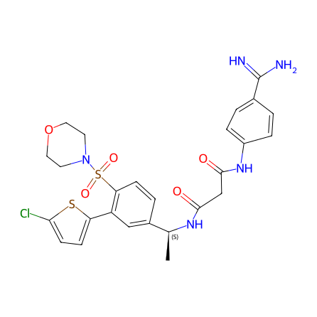 C[C@H](NC(=O)CC(=O)Nc1ccc(C(=N)N)cc1)c1ccc(S(=O)(=O)N2CCOCC2)c(-c2ccc(Cl)s2)c1